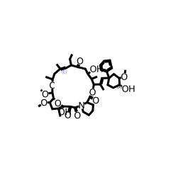 CCC1/C=C(\C)CC(C)CC(OC)C2OC(O)(C(=O)C(=O)N3CCCCC3C(=O)OC(C(C)=CC3(c4ccccc4)CC[C@H](O)C(OC)C3)C(C)C(O)CC1=O)C(C)CC2OC